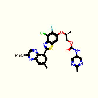 COc1cnc2c(-c3nc4c(Cl)c(F)c(O[C@@H](C)COC(=O)Nc5cnc(C)nc5)cc4s3)cc(C)cc2n1